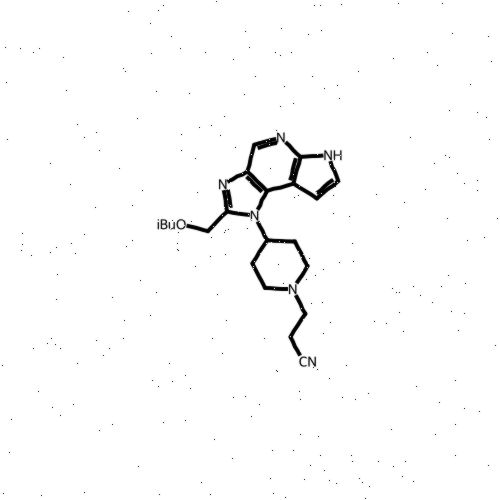 CC(C)COCc1nc2cnc3[nH]ccc3c2n1C1CCN(CCC#N)CC1